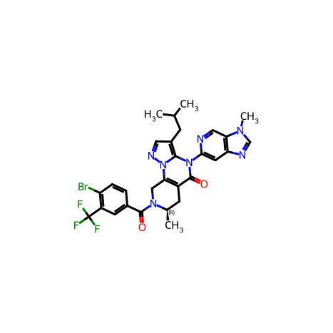 CC(C)Cc1cnn2c3c(c(=O)n(-c4cc5ncn(C)c5cn4)c12)C[C@@H](C)N(C(=O)c1ccc(Br)c(C(F)(F)F)c1)C3